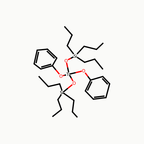 CCC[Si](CCC)(CCC)[O][Ti]([O]c1ccccc1)([O]c1ccccc1)[O][Si](CCC)(CCC)CCC